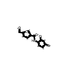 O=Cc1ccc(C(=O)Nc2ccc(Br)cc2Cl)cc1